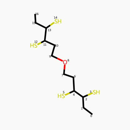 CCC(S)C(S)CCOCCC(S)C(S)CC